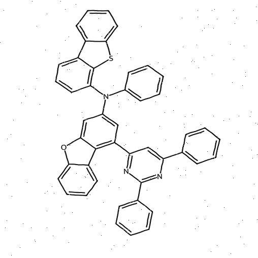 c1ccc(-c2cc(-c3cc(N(c4ccccc4)c4cccc5c4sc4ccccc45)cc4oc5ccccc5c34)nc(-c3ccccc3)n2)cc1